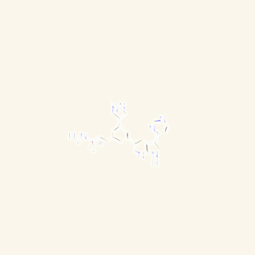 Cn1cc(-c2cc(/C=C/C(N)=O)cc(-c3cnc4[nH]cc(-c5ccncn5)c4c3)c2)cn1